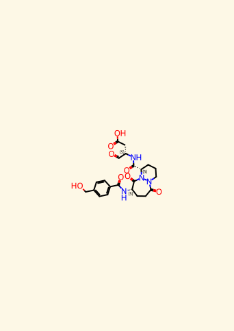 O=C[C@H](CC(=O)O)NC(=O)[C@@H]1CCCN2C(=O)CC[C@H](NC(=O)c3ccc(CO)cc3)C(=O)N12